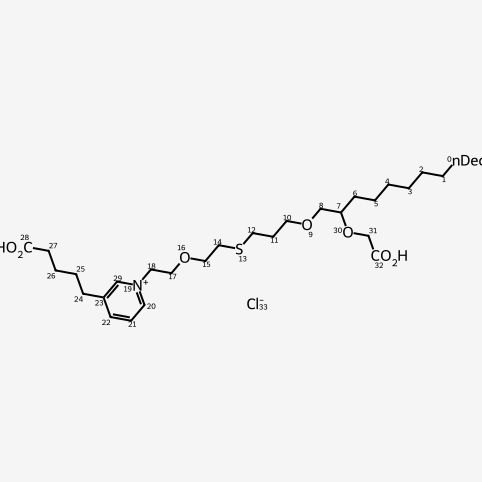 CCCCCCCCCCCCCCCCC(COCCCSCCOCC[n+]1cccc(CCCCC(=O)O)c1)OCC(=O)O.[Cl-]